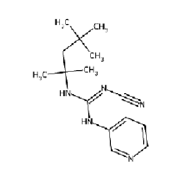 CC(C)(C)CC(C)(C)NC(=NC#N)Nc1cccnc1